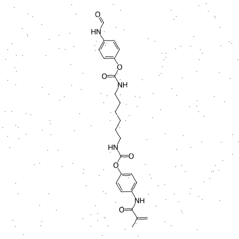 C=C(C)C(=O)Nc1ccc(OC(=O)NCCCCCCNC(=O)Oc2ccc(NC=O)cc2)cc1